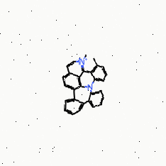 Cc1cccc2c1c1c3c4c(ccc3cc[n+]1C)c1ccccc1c1ccccc1n2-4